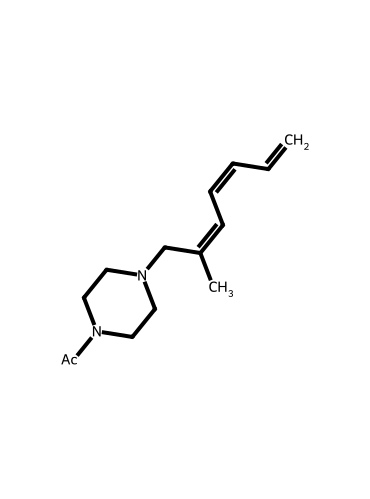 C=C/C=C\C=C(\C)CN1CCN(C(C)=O)CC1